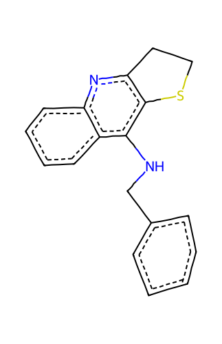 c1ccc(CNc2c3c(nc4ccccc24)CCS3)cc1